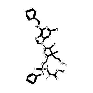 CC(C)OC(=O)[C@H](C)NP(=O)(OC[C@H]1O[C@@H](n2cnc3c(NCc4ccccc4)nc(Cl)nc32)C(F)C1(C)CCN)Oc1ccccc1